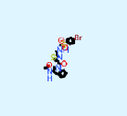 CC(=O)NC1Cc2ccccc2N(C(=O)c2csc(CNCS(=O)(=O)c3ccc(Br)cc3)n2)C1